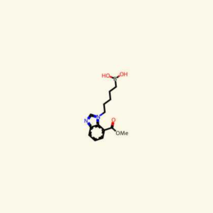 COC(=O)c1cccc2ncn(CCCCCB(O)O)c12